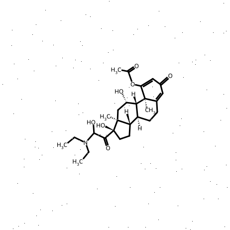 CCN(CC)C(O)C(=O)[C@@]1(O)CC[C@H]2[C@@H]3CCC4=CC(=O)C=C(OC(C)=O)[C@]4(C)[C@H]3[C@@H](O)C[C@@]21C